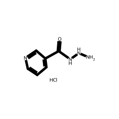 Cl.NNNC(=O)c1cccnc1